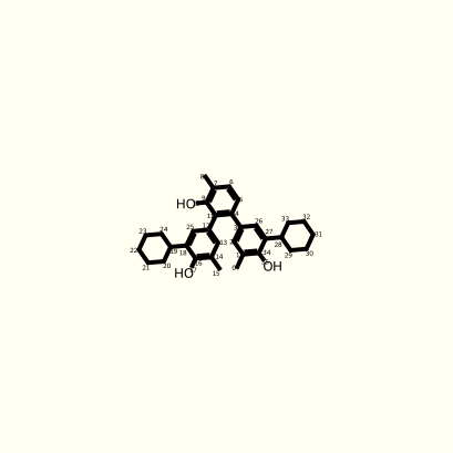 Cc1cc(-c2ccc(C)c(O)c2-c2cc(C)c(O)c(C3CCCCC3)c2)cc(C2CCCCC2)c1O